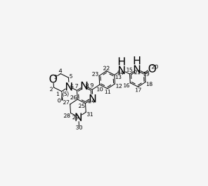 C[C@H]1COCCN1c1nc(-c2ccc(Nc3cccc(=O)[nH]3)cc2)nc2c1CCN(C)C2